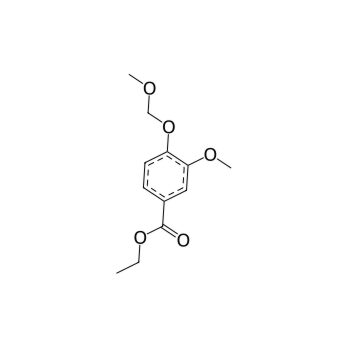 CCOC(=O)c1ccc(OCOC)c(OC)c1